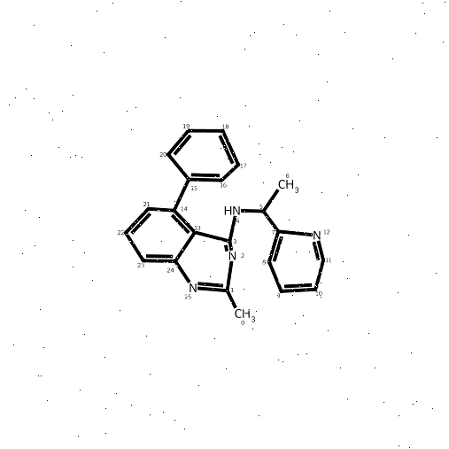 Cc1nc(NC(C)c2ccccn2)c2c(-c3ccccc3)cccc2n1